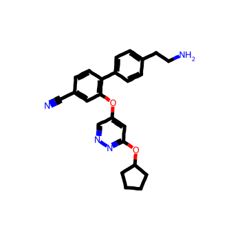 N#Cc1ccc(-c2ccc(CCN)cc2)c(Oc2cnnc(OC3CCCC3)c2)c1